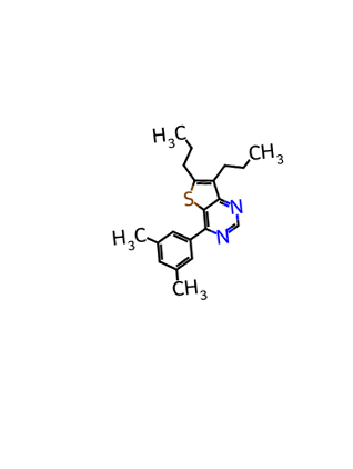 CCCc1sc2c(-c3cc(C)cc(C)c3)ncnc2c1CCC